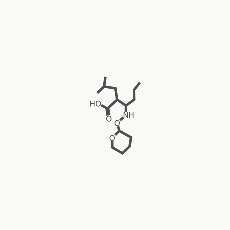 CCCC(NOC1CCCCO1)C(CC(C)C)C(=O)O